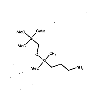 CO[Si](C)(CCCN)OC[Si](OC)(OC)OC